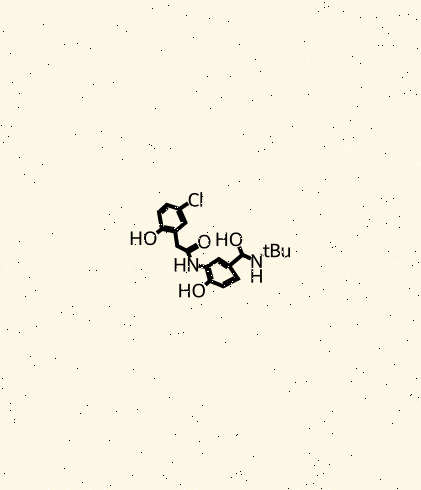 CC(C)(C)NC(O)c1ccc(O)c(NC(=O)Cc2cc(Cl)ccc2O)c1